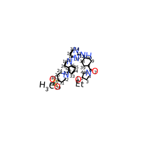 CCOC1CCN(C(=O)C2CCC(Nc3nccc(-n4ccc5c(N6CCC(S(C)(=O)=O)CC6)cccc54)n3)CC2)C1